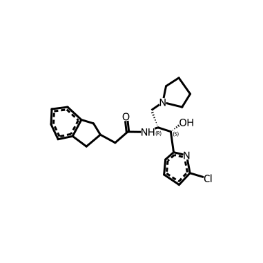 O=C(CC1Cc2ccccc2C1)N[C@H](CN1CCCC1)[C@H](O)c1cccc(Cl)n1